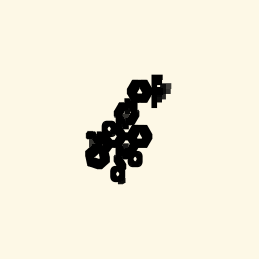 COCCN1C(=O)c2ccccc2C(C(=O)N2CCN(c3cccc(C(F)(F)F)c3)CC2)C1c1cn(C)c2ccccc12